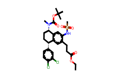 CCOC(=O)CCc1cc2c(cc1NS(C)(=O)=O)[C@@H](N(C)C(=O)OC(C)(C)C)CC[C@H]2c1ccc(Cl)c(Cl)c1